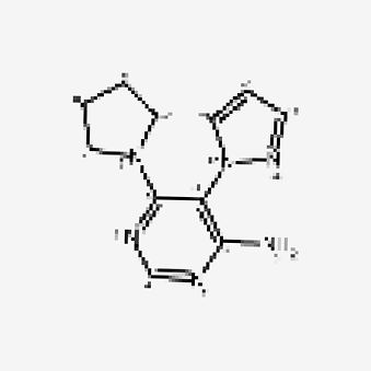 Nc1ncnc(N2CCCC2)c1-n1cccn1